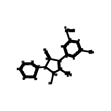 CCCCCc1cc(Cl)cc(C2=C(N)N(C)C(c3ccccc3)C2=O)c1